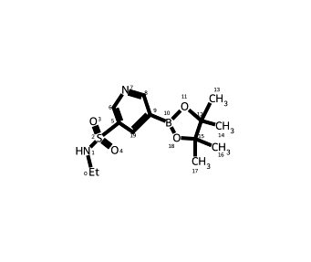 CCNS(=O)(=O)c1cncc(B2OC(C)(C)C(C)(C)O2)c1